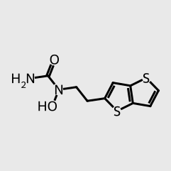 NC(=O)N(O)CCc1cc2sccc2s1